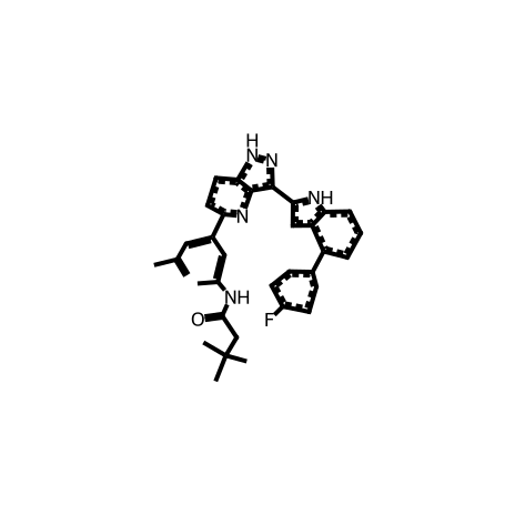 C=C(C)/C=C(\C=C(/C)NC(=O)CC(C)(C)C)c1ccc2[nH]nc(-c3cc4c(-c5ccc(F)cc5)cccc4[nH]3)c2n1